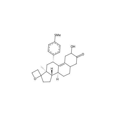 CSc1ccc([C@H]2C[C@@]3(C)[C@@H](CCC34CCO4)[C@@H]3CCC4CC(=O)C(O)CC4=C32)cc1